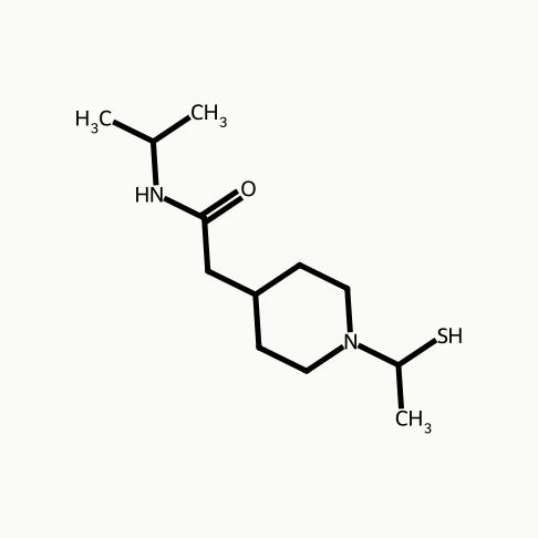 CC(C)NC(=O)CC1CCN(C(C)S)CC1